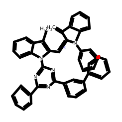 C=c1/c(=C\c2c(C)c3ccccc3n2-c2nc(-c3ccccc3)nc(-c3cccc(-c4ccccc4)c3)n2)n(-c2ccccc2)c2ccccc12